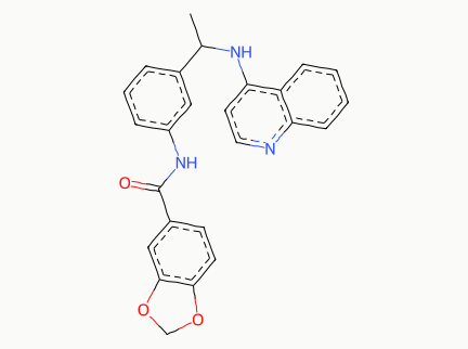 CC(Nc1ccnc2ccccc12)c1cccc(NC(=O)c2ccc3c(c2)OCO3)c1